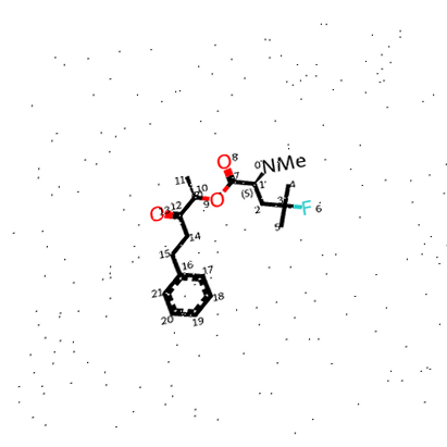 CN[C@@H](CC(C)(C)F)C(=O)O[C@H](C)C(=O)CCc1ccccc1